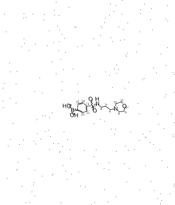 O=S(=O)(NCCCN1CCOCC1)c1ccc(B(O)O)cc1